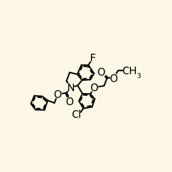 CCOC(=O)COc1ccc(Cl)cc1C1c2ccc(F)cc2CCN1C(=O)OCc1ccccc1